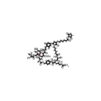 CC[C@H](C)[C@@H]([C@@H](CC(=O)N1C[C@@H](N(C)C(=O)OCc2ccc(NC(=O)[C@H](CCCNC(N)=O)NC(=O)[C@@H](NC(=O)CCCCCN3C(=O)CC(SCCCCCC(=O)ON4C(=O)CCC4=O)C3=O)C(C)C)cc2)C[C@H]1[C@H](OC)[C@@H](C)C(=O)NCCc1c(F)cccc1F)OC)N(C)C(=O)[C@@H](NC(=O)[C@H](C(C)C)N(C)C)C(C)C